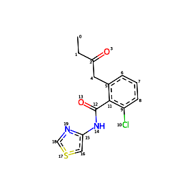 CCC(=O)Cc1cccc(Cl)c1C(=O)Nc1cscn1